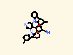 Cc1ccc2c(c1)c1ccccc1n2-c1cncc(-n2c3ccccc3c3cc(C)ccc32)c1-c1ccc(C#N)cc1